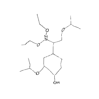 CCO[SiH](OCC)C(COC(C)C)C1CCC(O)C(OC(C)C)C1